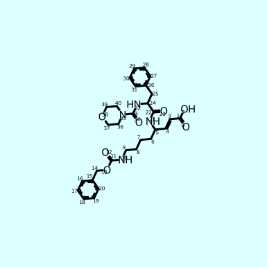 O=C(O)C=CC(CCCCNC(=O)OCc1ccccc1)NC(=O)C(Cc1ccccc1)NC(=O)N1CCOCC1